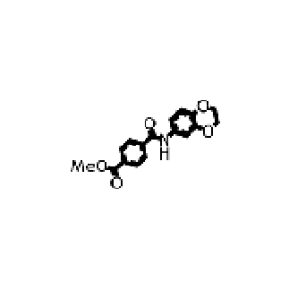 COC(=O)c1ccc(C(=O)Nc2ccc3c(c2)OCCO3)cc1